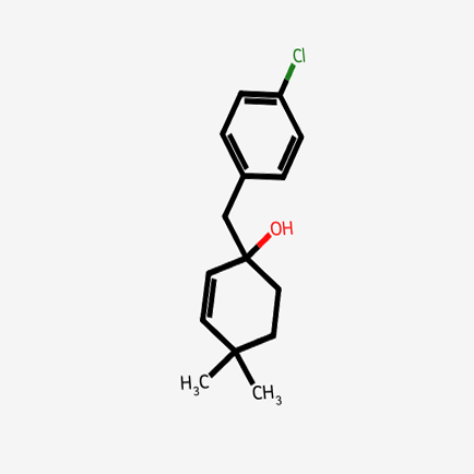 CC1(C)C=CC(O)(Cc2ccc(Cl)cc2)CC1